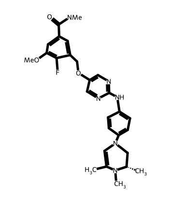 CNC(=O)c1cc(COc2cnc(Nc3ccc(N4C=C(C)N(C)[C@@H](C)C4)cc3)nc2)c(F)c(OC)c1